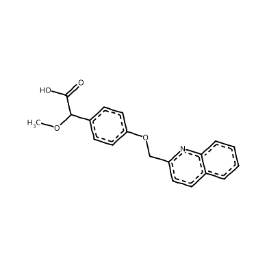 COC(C(=O)O)c1ccc(OCc2ccc3ccccc3n2)cc1